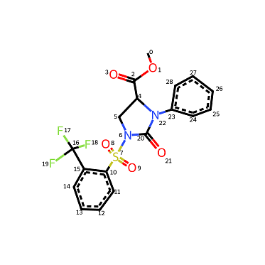 COC(=O)C1CN(S(=O)(=O)c2ccccc2C(F)(F)F)C(=O)N1c1ccccc1